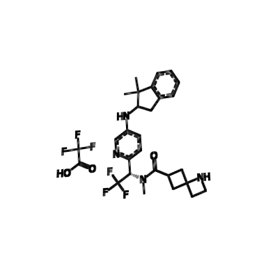 CN(C(=O)C1CC2(CCN2)C1)[C@@H](c1ccc(NC2Cc3ccccc3C2(C)C)cn1)C(F)(F)F.O=C(O)C(F)(F)F